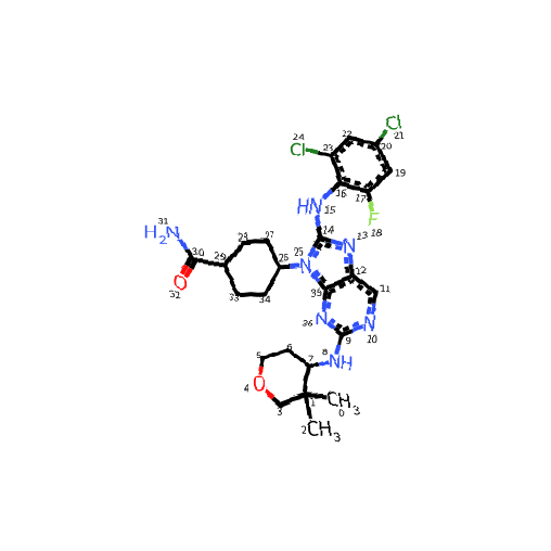 CC1(C)COCCC1Nc1ncc2nc(Nc3c(F)cc(Cl)cc3Cl)n(C3CCC(C(N)=O)CC3)c2n1